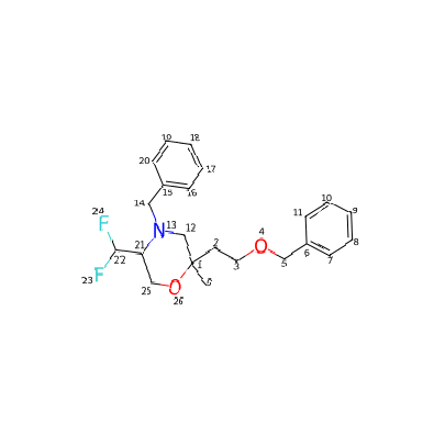 CC1(CCOCc2ccccc2)CN(Cc2ccccc2)C(C(F)F)CO1